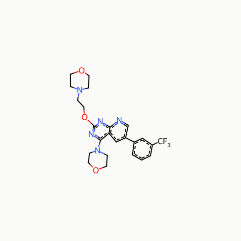 FC(F)(F)c1cccc(-c2cnc3nc(OCCN4CCOCC4)nc(N4CCOCC4)c3c2)c1